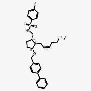 O=C(O)CC/C=C\C[C@@H]1[C@@H](CNS(=O)(=O)c2ccc(F)cc2)CC[C@@H]1OCc1ccc(-c2ccccc2)cc1